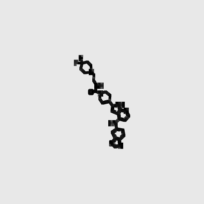 O=C(NCCN1CCC(F)(F)CC1)N1CC=C(c2cc3c(Nc4ccc5ncsc5c4)ccnc3[nH]2)CC1